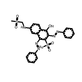 CS(=O)(=O)CNc1ccc2c(O)c(/N=N/c3ccccc3)c([S](=O)(=O)[Mo])c(/N=N/c3ccccc3)c2c1